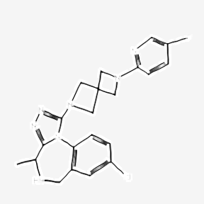 CC1NCc2cc(Cl)ccc2-n2c1nnc2N1CC2(CN(c3ccc(F)cn3)C2)C1